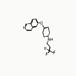 FC(F)(F)CCNC1CCC(Oc2ccc3cnccc3c2)CC1